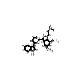 CN(C)CCn1nc(-c2nccc(-c3c[nH]c4ccccc34)n2)c2cc(N)cc(N)c21